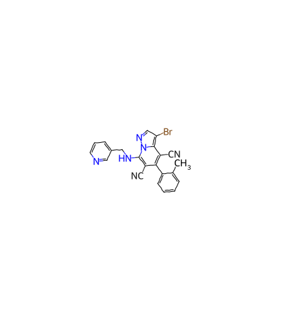 Cc1ccccc1-c1c(C#N)c(NCc2cccnc2)n2ncc(Br)c2c1C#N